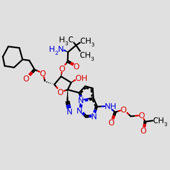 CC(=O)OCOC(=O)Nc1ncnn2c([C@]3(C#N)O[C@H](COC(=O)CC4CCCCC4)[C@@H](OC(=O)[C@@H](N)C(C)(C)C)[C@H]3O)ccc12